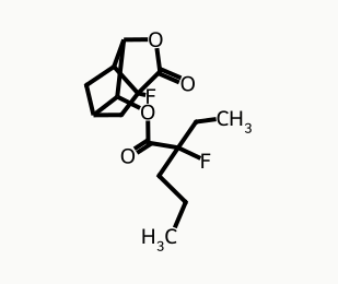 CCCC(F)(CC)C(=O)OC1C2CC3C1OC(=O)C3(F)C2